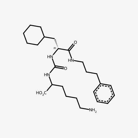 NCCCCC(NC(=O)N[C@H](CC1CCCCC1)C(=O)NCCCc1ccccc1)C(=O)O